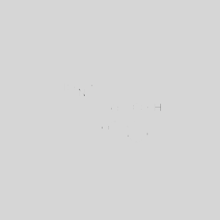 CC1(C)CC(OC(=O)c2ccccc2C(=O)O)CC(C)(C)N1O